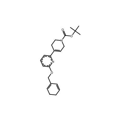 CC(C)(C)OC(=O)N1CC=C(c2cccc(OCC3=CCCC=C3)n2)CC1